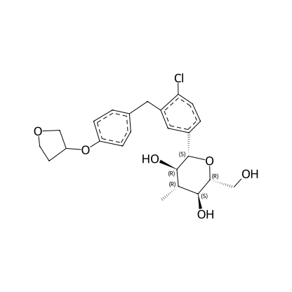 C[C@@H]1[C@@H](O)[C@H](c2ccc(Cl)c(Cc3ccc(OC4CCOC4)cc3)c2)O[C@H](CO)[C@H]1O